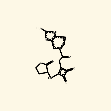 Nc1nc2cc(C(=O)Cc3c(NC4CCOC4=O)c(=O)c3=O)ccc2[nH]1